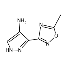 Cc1nc(-c2n[nH]cc2N)no1